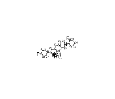 Cl.Cl.Fc1ccc(-c2cncc(CN3CCN(c4ccccc4F)CC3)c2)cc1